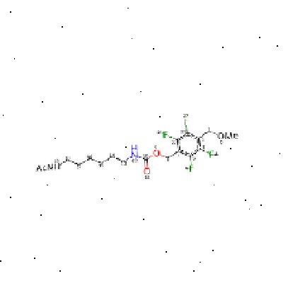 COCc1c(F)c(F)c(COC(=O)NCCCCCCNC(C)=O)c(F)c1F